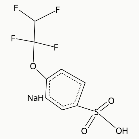 O=S(=O)(O)c1ccc(OC(F)(F)C(F)F)cc1.[NaH]